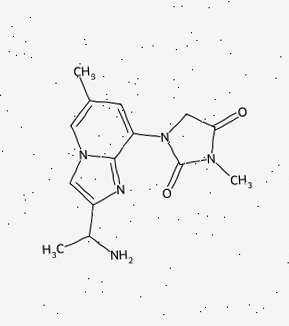 Cc1cc(N2CC(=O)N(C)C2=O)c2nc(C(C)N)cn2c1